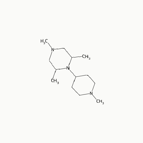 CC1CN(C)CC(C)N1C1CCN(C)CC1